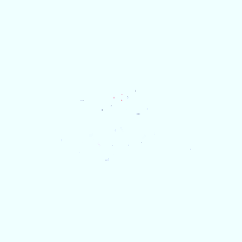 CCc1cc(C)c(/C2=C(\O)CCCCOC2=O)c(CC)c1